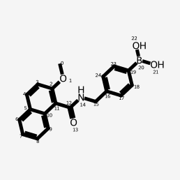 COc1ccc2ccccc2c1C(=O)NCc1ccc(B(O)O)cc1